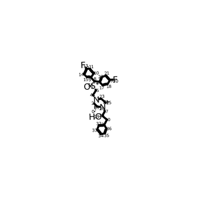 C[C@@H]1CN(CC[S+]([O-])C(c2ccc(F)cc2)c2ccc(F)cc2)C[C@H](C)N1CC(O)Cc1ccccc1